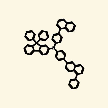 c1ccc(-c2cccc3cc(-c4ccc(N(c5ccc(-c6cccc7ccccc67)cc5)c5ccc6c(c5)C(c5ccccc5)(c5ccccc5)c5ccccc5-6)cc4)ccc23)cc1